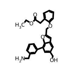 CCOC(=O)Cc1ccccc1OCc1cc2cc(CO)cc(-c3cccc(CN)c3)c2o1